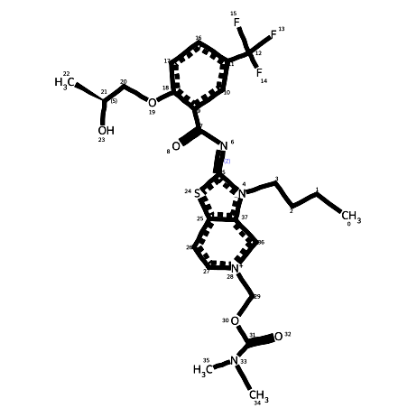 CCCCn1/c(=N/C(=O)c2cc(C(F)(F)F)ccc2OC[C@H](C)O)sc2cc[n+](COC(=O)N(C)C)cc21